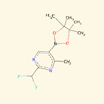 Cc1nc(C(F)F)ncc1B1OC(C)(C)C(C)(C)O1